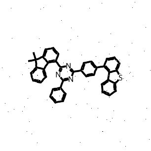 CC1(C)c2ccccc2-c2c(-c3nc(-c4ccccc4)nc(-c4ccc(-c5cccc6sc7ccccc7c56)cc4)n3)cccc21